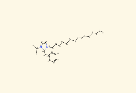 CCCCCCCCCCCCCCCN1C=CN(C(C)C)C1Cc1ccccc1